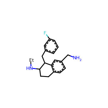 CCNC1CCc2ccc(CN)cc2C1Cc1cccc(F)c1